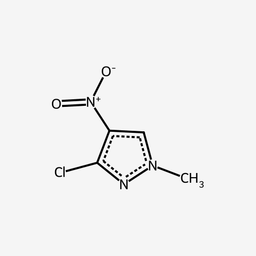 Cn1cc([N+](=O)[O-])c(Cl)n1